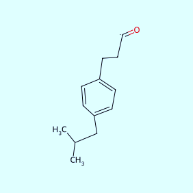 CC(C)Cc1ccc(CC[C]=O)cc1